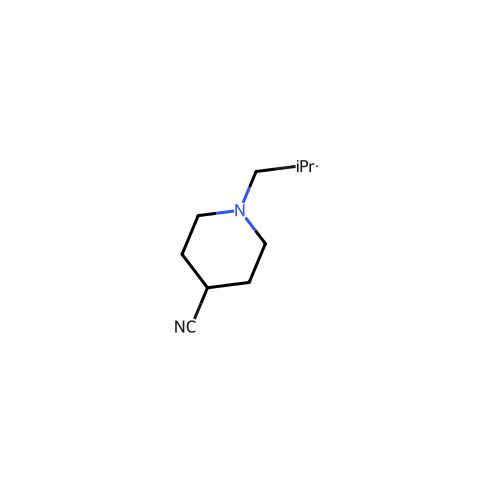 C[C](C)CN1CCC(C#N)CC1